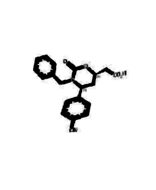 N#Cc1ccc([C@@H]2C[C@H](CC(=O)O)OC(=O)N2Cc2ccccc2)cc1